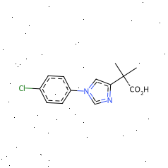 CC(C)(C(=O)O)c1cn(-c2ccc(Cl)cc2)cn1